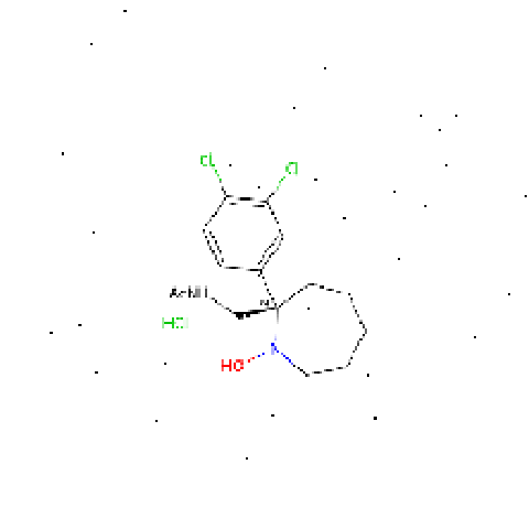 CC(=O)NC[C@@]1(c2ccc(Cl)c(Cl)c2)CCCCCN1O.Cl